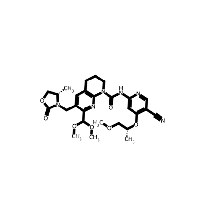 COC[C@@H](C)Oc1cc(NC(=O)N2CCCc3cc(CN4C(=O)OC[C@@H]4C)c(C(OC)OC)nc32)ncc1C#N